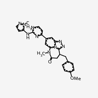 COc1ccc(CC2CC(=O)N(C)c3cc(-c4ccnc(Nc5ccnn5C)n4)cc4nnc2n34)cc1